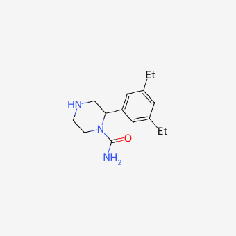 CCc1cc(CC)cc(C2CNCCN2C(N)=O)c1